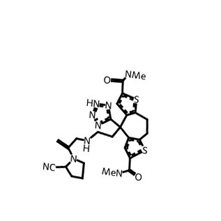 C=C(CNCCC1(c2nn[nH]n2)c2cc(C(=O)NC)sc2CCc2sc(C(=O)NC)cc21)N1CCCC1C#N